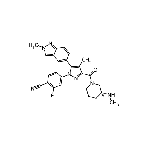 CN[C@@H]1CCCN(C(=O)c2nn(-c3ccc(C#N)c(F)c3)c(-c3ccc4nn(C)cc4c3)c2C)C1